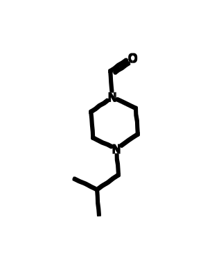 CC(C)CN1CCN(C=O)CC1